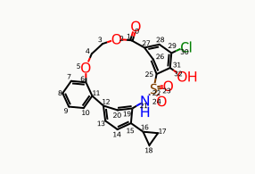 O=C1OCCOc2ccccc2-c2ccc(C3CC3)c(c2)NS(=O)(=O)c2cc1cc(Cl)c2O